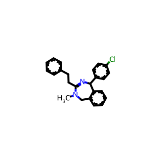 CN1Cc2ccccc2C(c2ccc(Cl)cc2)N=C1CCc1ccccc1